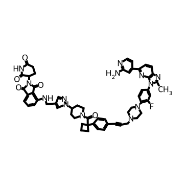 Cc1nc2ccc(-c3ccnc(N)c3)nc2n1-c1ccc(N2CCN(CC#Cc3ccc(C4(C(=O)N5CCC(n6cc(CNc7cccc8c7C(=O)N(C7CCC(=O)NC7=O)C8=O)cn6)CC5)CCC4)cc3)CC2)c(F)c1